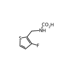 O=C(O)NCc1sccc1F